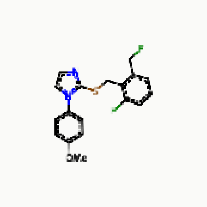 COc1ccc(-n2ccnc2SCc2c(F)cccc2CF)cc1